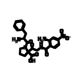 Nc1cc([N+](=O)[O-])ccc1C(=O)NCC(=O)C1(C(=O)O)CCCN1C(=O)C(N)Cc1ccccc1